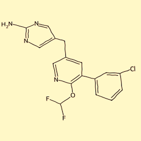 Nc1ncc(Cc2cnc(OC(F)F)c(-c3cccc(Cl)c3)c2)cn1